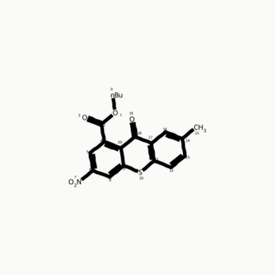 CCCCOC(=O)c1cc([N+](=O)[O-])cc2sc3ccc(C)cc3c(=O)c12